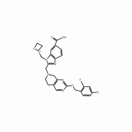 O=C(O)c1ccc2nc(CN3CCc4cnc(OCc5ccc(Cl)cc5F)nc4C3)n(C[C@@H]3CCO3)c2c1